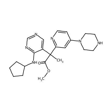 COC(=O)C(C)(c1cc(N2CCNCC2)ccn1)c1cncnc1NC1CCCC1